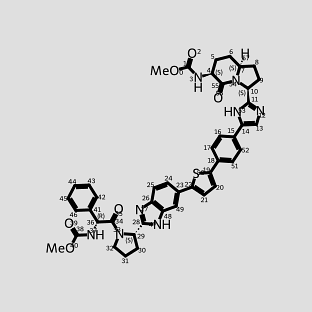 COC(=O)N[C@H]1CC[C@H]2CC[C@@H](c3ncc(-c4ccc(-c5ccc(-c6ccc7nc([C@@H]8CCCN8C(=O)[C@H](NC(=O)OC)c8ccccc8)[nH]c7c6)s5)cc4)[nH]3)N2C1=O